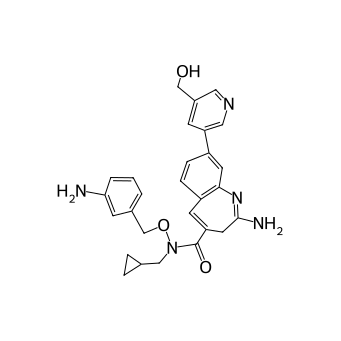 NC1=Nc2cc(-c3cncc(CO)c3)ccc2C=C(C(=O)N(CC2CC2)OCc2cccc(N)c2)C1